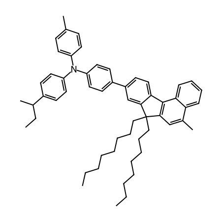 CCCCCCCCC1(CCCCCCCC)c2cc(-c3ccc(N(c4ccc(C)cc4)c4ccc(C(C)CC)cc4)cc3)ccc2-c2c1cc(C)c1ccccc21